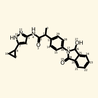 CC(C(=O)Nc1cc(C2CC2)[nH]n1)c1ccc(N2C(=O)c3ccccc3C2O)cc1